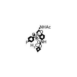 CC(=O)NC[C@H]1CN(S(=O)(=O)c2ccc(F)cc2)c2cc(NC(=O)OC3(C)CCC3)ccc2O1